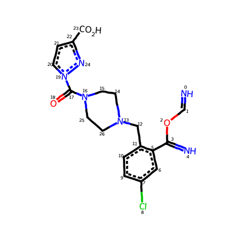 N=COC(=N)c1cc(Cl)ccc1CN1CCN(C(=O)n2ccc(C(=O)O)n2)CC1